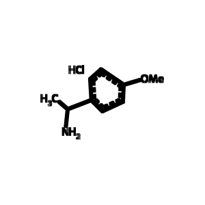 COc1ccc(C(C)N)cc1.Cl